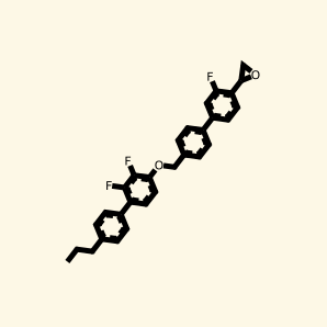 CCCc1ccc(-c2ccc(OCc3ccc(-c4ccc(C5CO5)c(F)c4)cc3)c(F)c2F)cc1